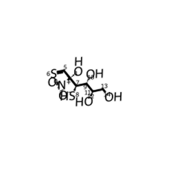 O=[N+]([O-])[C@@](O)(C=S)[C@H](S)[C@H](O)[C@H](O)CO